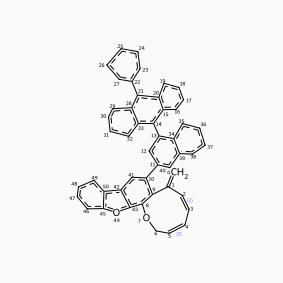 C=C1/C=C\C=C/COc2c1c(-c1cc(-c3c4ccccc4c(-c4ccccc4)c4ccccc34)c3ccccc3c1)cc1c2oc2ccccc21